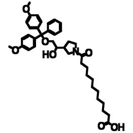 COc1ccc(C(OCC(O)C2CCN(C(=O)CCCCCCCCCCC(=O)O)C2)(c2ccccc2)c2ccc(OC)cc2)cc1